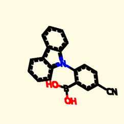 N#Cc1ccc(-n2c3ccccc3c3ccccc32)c(B(O)O)c1